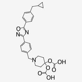 O=C(O)OC1(OC(=O)O)CCN(Cc2ccc(-c3noc(-c4ccc(CC5CC5)cc4)n3)cc2)CC1